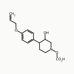 C=CCOc1ccc(C2CCN(OC(=O)O)CC2O)cc1